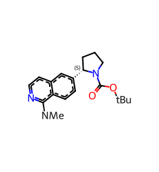 CNc1nccc2cc([C@@H]3CCCN3C(=O)OC(C)(C)C)ccc12